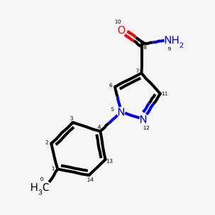 Cc1ccc(-n2cc(C(N)=O)cn2)cc1